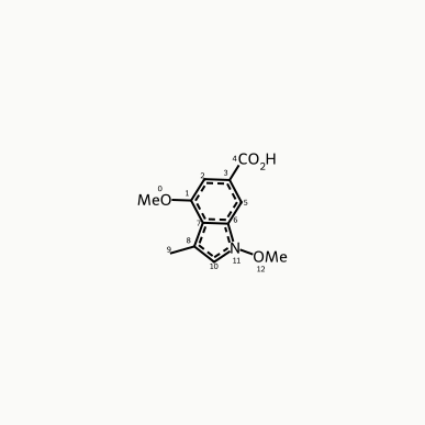 COc1cc(C(=O)O)cc2c1c(C)cn2OC